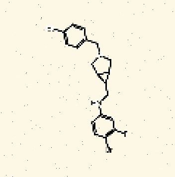 CCc1ccc(CN2CC3C(CNc4ccc(Br)c(F)c4)C3C2)cc1